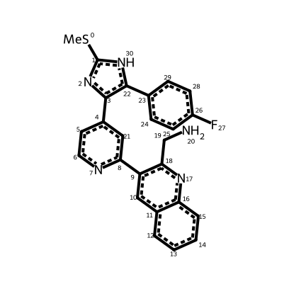 CSc1nc(-c2ccnc(-c3cc4ccccc4nc3CN)c2)c(-c2ccc(F)cc2)[nH]1